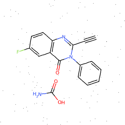 C#Cc1nc2ccc(F)cc2c(=O)n1-c1ccccc1.NC(=O)O